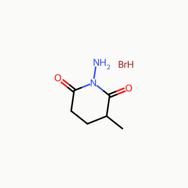 Br.CC1CCC(=O)N(N)C1=O